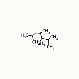 C[C](CC(C)C)C(C)C(C)C